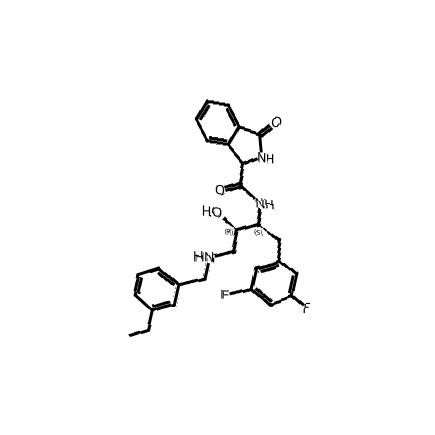 CCc1cccc(CNC[C@@H](O)[C@H](Cc2cc(F)cc(F)c2)NC(=O)C2NC(=O)c3ccccc32)c1